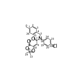 Cc1ccc(CN(C(=O)/C=C2/OC(C)(C)OC2=O)c2ccc(Cl)cc2)cc1